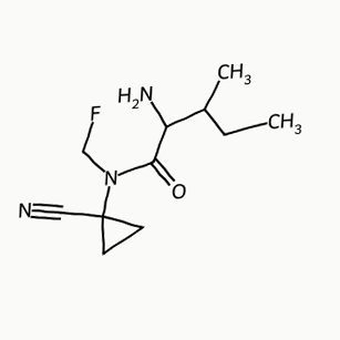 CCC(C)C(N)C(=O)N(CF)C1(C#N)CC1